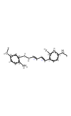 CNc1ccc(/C=C/C=C/SSc2cc(OC)ccc2N)c(F)n1